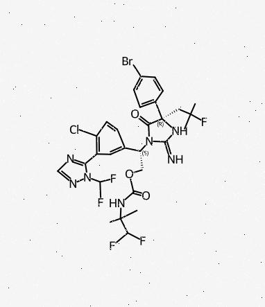 CC(C)(F)C[C@]1(c2ccc(Br)cc2)NC(=N)N([C@H](COC(=O)NC(C)(C)C(F)F)c2ccc(Cl)c(-c3ncnn3C(F)F)c2)C1=O